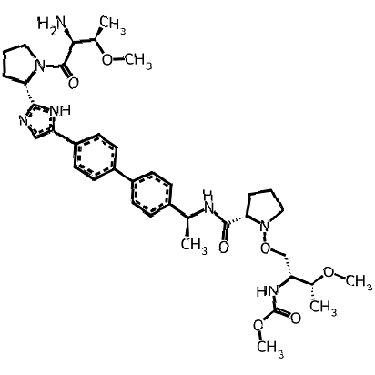 COC(=O)N[C@H](CON1CCC[C@H]1C(=O)N[C@@H](C)c1ccc(-c2ccc(-c3cnc([C@@H]4CCCN4C(=O)[C@@H](N)[C@@H](C)OC)[nH]3)cc2)cc1)[C@@H](C)OC